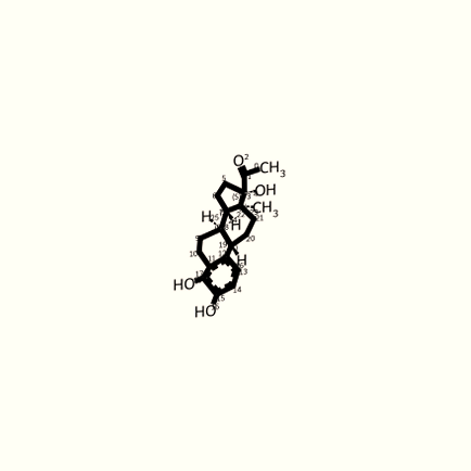 CC(=O)[C@]1(O)CC[C@H]2[C@@H]3CCc4c(ccc(O)c4O)[C@H]3CC[C@@]21C